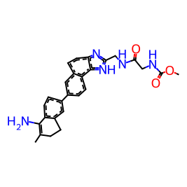 COC(=O)NCC(=O)NCc1nc2ccc3cc(-c4ccc5c(c4)CCC(C)=C5N)ccc3c2[nH]1